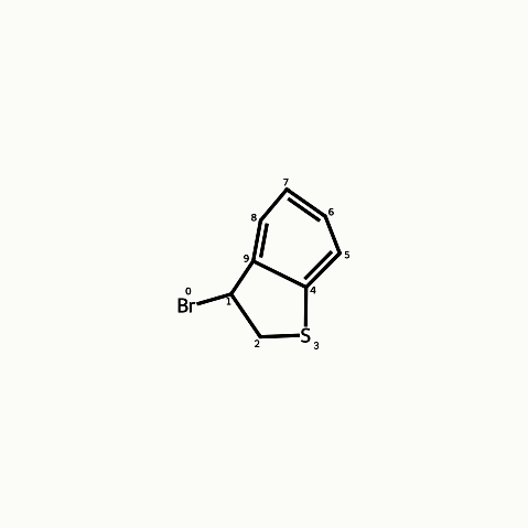 BrC1CSc2ccccc21